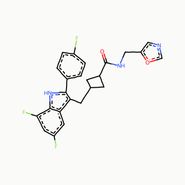 O=C(NCc1cnco1)C1CC(Cc2c(-c3ccc(F)cc3)[nH]c3c(F)cc(F)cc23)C1